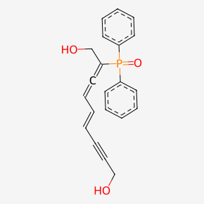 O=P(C(=C=CC=CC#CCO)CO)(c1ccccc1)c1ccccc1